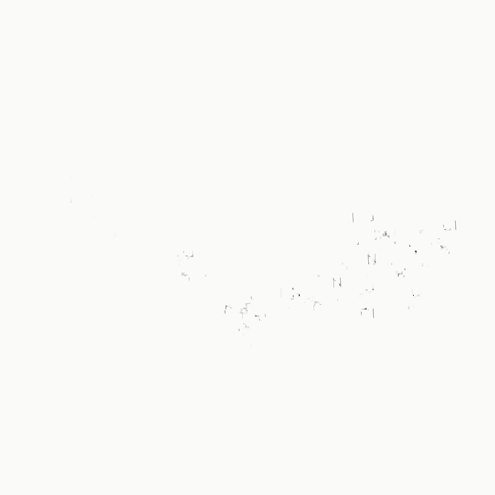 CCCCCCCCCCCCCC(=O)OCCCOP(=O)(OC)OCCNC(=O)CN(CCN(CCN(CC(=O)O)CC(=O)OC)CC(=O)O)CC(=O)O